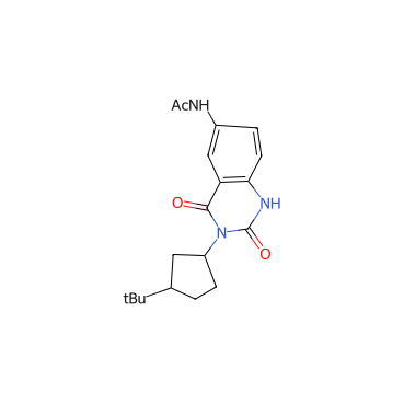 CC(=O)Nc1ccc2[nH]c(=O)n(C3CCC(C(C)(C)C)C3)c(=O)c2c1